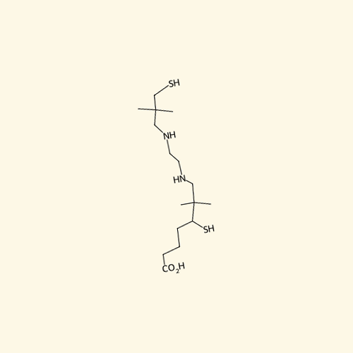 CC(C)(CS)CNCCNCC(C)(C)C(S)CCCC(=O)O